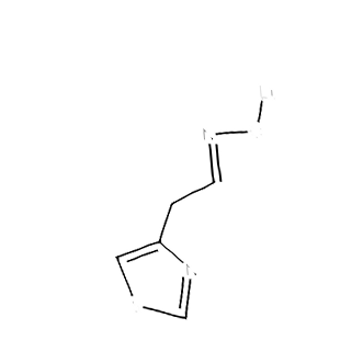 CCON=CCc1cs[c]n1